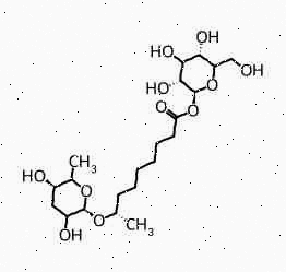 CC1O[C@@H](O[C@@H](C)CCCCCCC(=O)O[C@@H]2OC(CO)[C@@H](O)C(O)[C@H]2O)C(O)C[C@H]1O